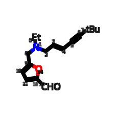 CCN(CC=CC#CC(C)(C)C)Cc1ccc(C=O)o1